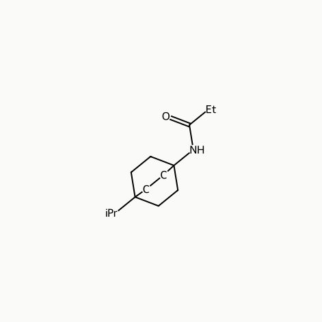 CCC(=O)NC12CCC(C(C)C)(CC1)CC2